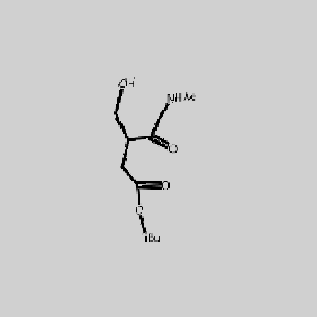 CCC(C)OC(=O)CC(CO)C(=O)NC(C)=O